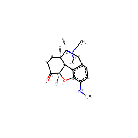 CN1CC[C@]23c4c5ccc(NC=O)c4O[C@H]2C(=O)CC[C@H]3[C@H]1C5